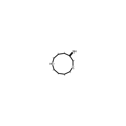 N=C1CCCNCCCCOC1